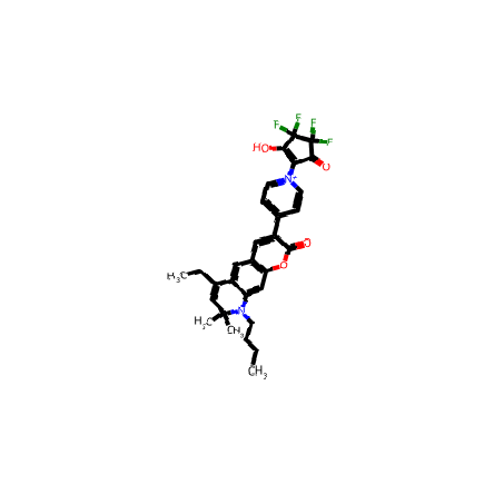 CCCCN1c2cc3oc(=O)c(-c4cc[n+](C5=C(O)C(F)(F)C(F)(F)C5=O)cc4)cc3cc2C(CC)=CC1(C)C